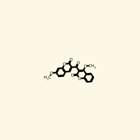 COc1ccc2cc(C(=O)c3c(OC)c4ccccc4oc3=O)c(=O)oc2c1